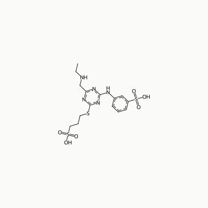 CCNCc1nc(Nc2cccc(S(=O)(=O)O)c2)nc(SCCCS(=O)(=O)O)n1